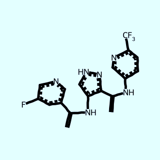 C=C(Nc1c[nH]nc1C(=C)Nc1ccc(C(F)(F)F)nc1)c1cncc(F)c1